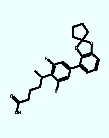 CN(CCCC(=O)O)c1c(F)cc(-c2cccc3c2OC2(CCCC2)O3)cc1F